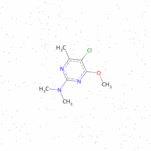 COc1nc(N(C)C)nc(C)c1Cl